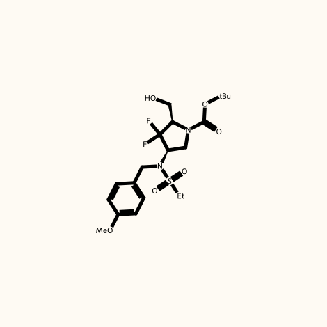 CCS(=O)(=O)N(Cc1ccc(OC)cc1)[C@@H]1CN(C(=O)OC(C)(C)C)[C@H](CO)C1(F)F